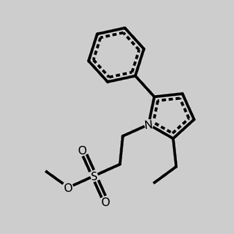 CCc1ccc(-c2ccccc2)n1CCS(=O)(=O)OC